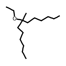 CCCCCCC(C)(CCCCCC)OCC